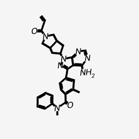 C=CC(=O)N1CC2CC(n3nc(-c4ccc(C(=O)N(C)c5ccccc5)c(C)c4)c4c(N)ncnc43)CC2C1